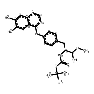 COC(O)[C@H](Cc1ccc(Nc2ncnc3cc(O)c(O)cc23)cc1)NC(=O)OC(C)(C)C